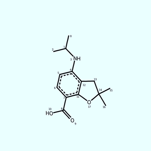 CC(C)Nc1ccc(C(=O)O)c2c1CC(C)(C)O2